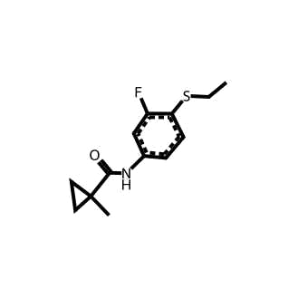 CCSc1ccc(NC(=O)C2(C)CC2)cc1F